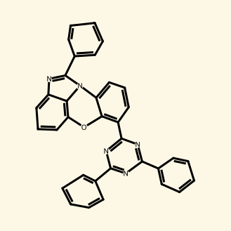 c1ccc(-c2nc(-c3ccccc3)nc(-c3cccc4c3Oc3cccc5nc(-c6ccccc6)n-4c35)n2)cc1